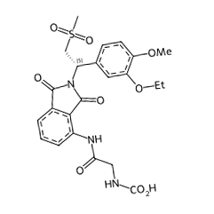 CCOc1cc([C@@H](CS(C)(=O)=O)N2C(=O)c3cccc(NC(=O)CNC(=O)O)c3C2=O)ccc1OC